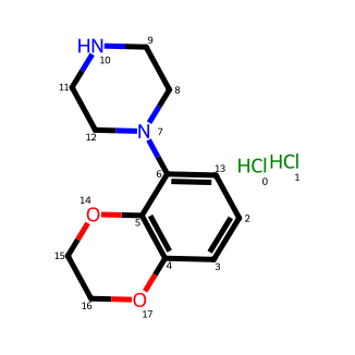 Cl.Cl.c1cc2c(c(N3CCNCC3)c1)OCCO2